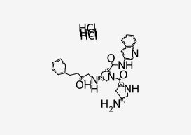 Cl.Cl.Cl.N[C@H]1CN[C@H](C(=O)N2C[C@H](NC[C@H](O)CCc3ccccc3)C[C@H]2C(=O)Nc2cnc3ccccc3c2)C1